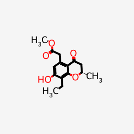 CCc1c(O)cc(CC(=O)OC)c2c1O[C@@H](C)CC2=O